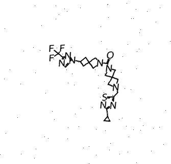 O=C(N1CC2(CC(n3cnc(C(F)(F)F)n3)C2)C1)N1CC2(CN(Cc3nc(C4CC4)ns3)C2)C1